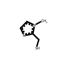 Cn1ccnc1CS